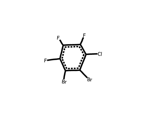 Fc1c(F)c(Cl)c(Br)c(Br)c1F